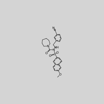 COc1ccc2cc(S(=O)(=O)N(NCc3cccc(C#N)c3)C(=O)N3CCCCCC3)ccc2c1